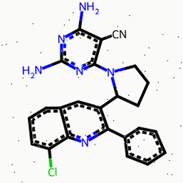 N#Cc1c(N)nc(N)nc1N1CCCC1c1cc2cccc(Cl)c2nc1-c1ccccc1